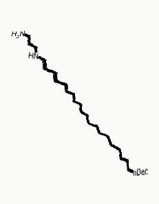 CCCCCCCCCCCCCCCCCCCCCCCCCCCCCCNCCCN